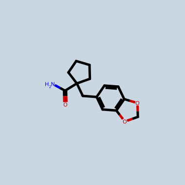 NC(=O)C1([CH]c2ccc3c(c2)OCO3)CCCC1